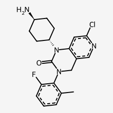 Cc1cccc(F)c1N1Cc2cnc(Cl)cc2N([C@H]2CC[C@H](N)CC2)C1=O